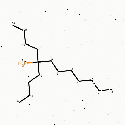 CCCCCCCC(P)(CCCC)CCCC